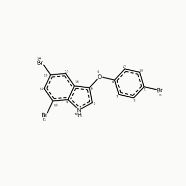 Brc1ccc(Oc2c[nH]c3c(Br)cc(Br)cc23)cc1